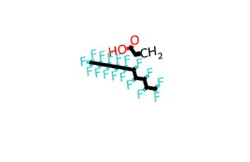 C=CC(=O)O.FC(F)C(F)C(F)C(F)C(F)C(F)(F)C(F)(F)C(F)(F)C(F)(F)C(F)(F)F